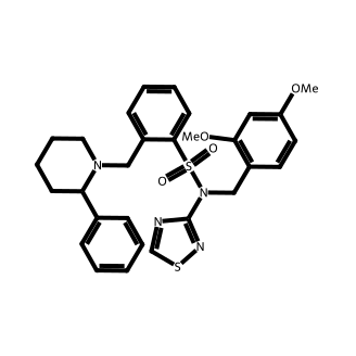 COc1ccc(CN(c2ncsn2)S(=O)(=O)c2ccccc2CN2CCCCC2c2ccccc2)c(OC)c1